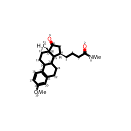 CNC(=O)CCC[C@@H]1CC(=O)[C@@]2(C)CCC3c4ccc(OC)cc4CCC3C12